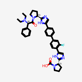 CCN(CC)[C@@H](C(=O)N1CCC[C@H]1c1ncc(-c2ccc(-c3ccc(-c4cnc([C@@H]5CCCN5C(=O)O)[nH]4)c(F)c3)cc2)[nH]1)c1ccccc1